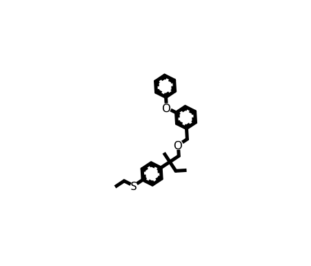 CCSc1ccc(C(C)(CC)COCc2cccc(Oc3ccccc3)c2)cc1